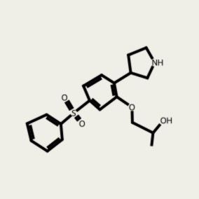 CC(O)COc1cc(S(=O)(=O)c2ccccc2)ccc1C1CCNC1